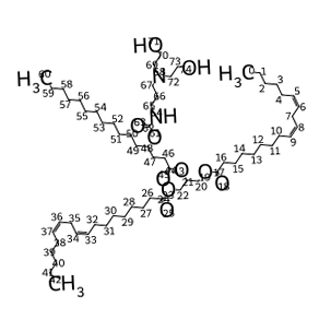 CCCCC/C=C\C/C=C\CCCCCCCC(=O)OCC(COC(=O)CCCCCCC/C=C\C/C=C\CCCCC)OC(=O)CCC(CCCCCCCCCCCC)OC(=O)NCCCN(CCO)CCO